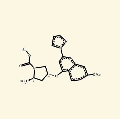 COc1ccc2c(O[C@@H]3C[C@@H](C(=O)O)N(C(=O)OC(C)(C)C)C3)cc(-n3cccn3)nc2c1